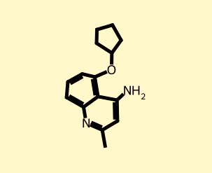 Cc1cc(N)c2c(OC3CCCC3)cccc2n1